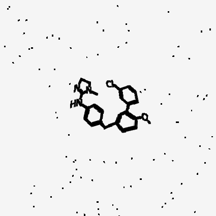 COc1ccc(Cc2ccc(NC3=NCCN3C)cc2)cc1-c1cccc(Cl)c1